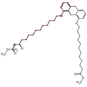 COC(=O)CCCCCCCCCCCCCOc1cccc2c1C1c3c(OCCCCCCCCCCCC(=O)OC)cccc3C2c2cccc(OCCCCCCCCCCCC(=O)OC)c21